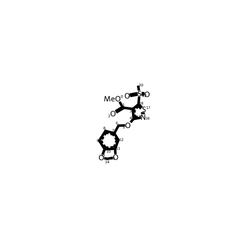 COC(=O)c1c(OCc2ccc3c(c2)OCO3)nsc1S(C)(=O)=O